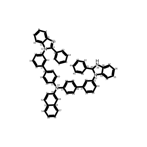 c1ccc(-c2nc3ccccc3n2-c2cccc(-c3ccc(N(c4ccc(-c5cccc(N6c7ccccc7NC6c6ccccc6)c5)cc4)c4ccc5ccccc5c4)cc3)c2)cc1